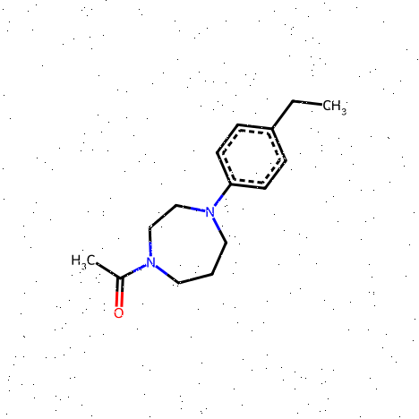 CCc1ccc(N2CCCN(C(C)=O)CC2)cc1